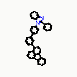 c1ccc(-c2nc3ccccc3n2-c2ccc(-c3cccc(-c4ccc5c6c(cccc46)-c4ccccc4-5)c3)cc2)cc1